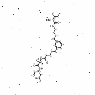 CC[C@H](C)[C@H](NC)C(=O)NCCSCc1cccc(CSCCC(=O)NC(C)(C)C(=O)N[C@H](C=O)CC(C)C)c1